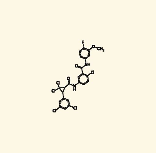 COc1cc(NC(=O)c2cc(NC(=O)C3C(c4cc(Cl)cc(Cl)c4)C3(Cl)Cl)ccc2Cl)ccc1F